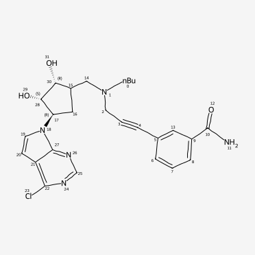 CCCCN(CC#Cc1cccc(C(N)=O)c1)CC1C[C@@H](n2ccc3c(Cl)ncnc32)[C@H](O)[C@@H]1O